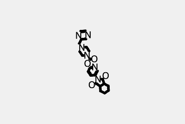 O=C(Oc1ccc(N2C(=O)C3CCCCC3C2=O)cn1)N1CCN(Cc2cnccn2)CC1